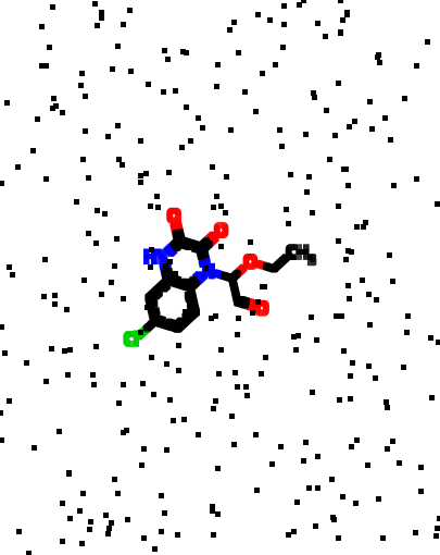 CCOC(C=O)n1c(=O)c(=O)[nH]c2cc(Cl)ccc21